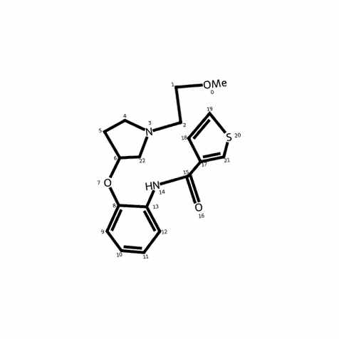 COCCN1CCC(Oc2ccccc2NC(=O)c2ccsc2)C1